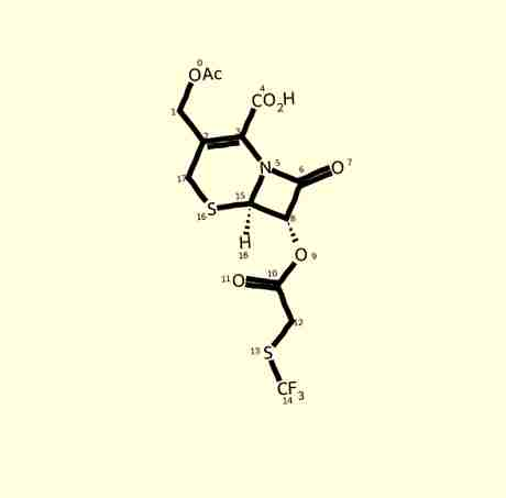 CC(=O)OCC1=C(C(=O)O)N2C(=O)[C@H](OC(=O)CSC(F)(F)F)[C@H]2SC1